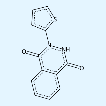 O=c1[nH]n(-c2cccs2)c(=O)c2ccccc12